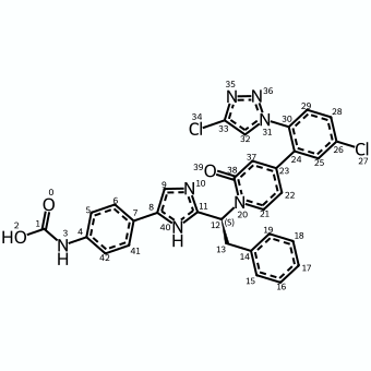 O=C(O)Nc1ccc(-c2cnc([C@H](Cc3ccccc3)n3ccc(-c4cc(Cl)ccc4-n4cc(Cl)nn4)cc3=O)[nH]2)cc1